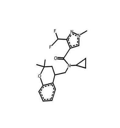 Cn1cc(C(=O)N(CC2CC(C)(C)Oc3ccccc32)C2CC2)c(C(F)F)n1